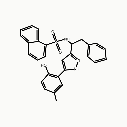 Cc1ccc(O)c(-c2cc(C(Cc3ccccc3)NS(=O)(=O)c3cccc4ccccc34)n[nH]2)c1